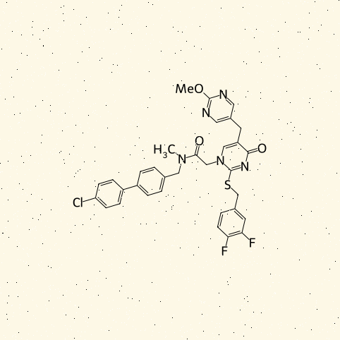 COc1ncc(Cc2cn(CC(=O)N(C)Cc3ccc(-c4ccc(Cl)cc4)cc3)c(SCc3ccc(F)c(F)c3)nc2=O)cn1